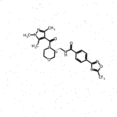 Cc1nn(C)c(C)c1C(=O)N1CCOC[C@H]1CNC(=O)c1ccc(-c2noc(C(F)(F)F)n2)cc1